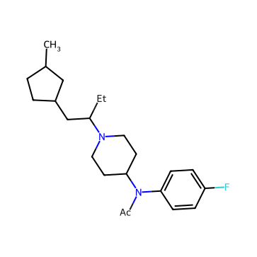 CCC(CC1CCC(C)C1)N1CCC(N(C(C)=O)c2ccc(F)cc2)CC1